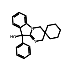 OC1(c2ccccc2)C2=NCC3(CCCCC3)CN2c2ccccc21